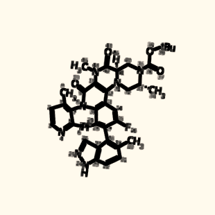 Cc1ccnc(C(C)C)c1-n1c(=O)c2c(c3cc(F)c(-c4c(C)ccc5[nH]ncc45)c(F)c31)N1C[C@@H](C)N(C(=O)OC(C)(C)C)C[C@@H]1C(=O)N2C